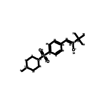 CN1CCN(S(=O)(=O)c2ccc(/C=[N+](\[O-])C(C)(C)C)cc2)CC1